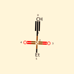 C#CS(=O)(=O)CC